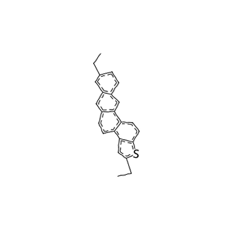 CCc1ccc2cc3c(ccc4c5cc(CC)sc5ccc34)cc2c1